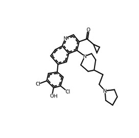 O=C(c1cnc2ccc(-c3cc(Cl)c(O)c(Cl)c3)cc2c1N1CCC(CCN2CCCC2)CC1)C1CC1